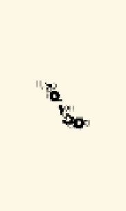 NC(=O)Nc1ccc(OCC(O)CN2CCC(O)(c3ccc(Cl)cc3)CC2)cc1